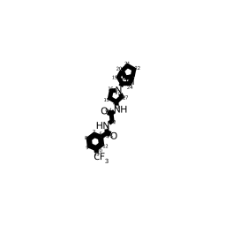 O=C(CNC(=O)c1cccc(C(F)(F)F)c1)NC1CCN(C2CC3CCC(C2)C3O)C1